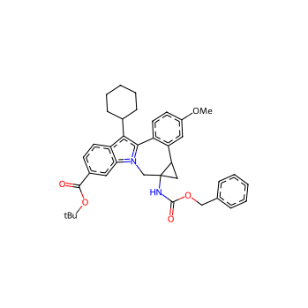 COc1ccc2c(c1)C1CC1(NC(=O)OCc1ccccc1)Cn1c-2c(C2CCCCC2)c2ccc(C(=O)OC(C)(C)C)cc21